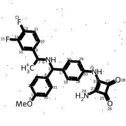 COc1ccc(C(NC(C)c2ccc(F)c(F)c2)c2ccc(Nc3c(N)c(=O)c3=O)cc2)cc1